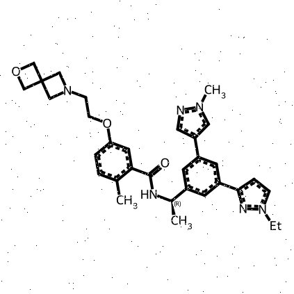 CCn1ccc(-c2cc(-c3cnn(C)c3)cc([C@@H](C)NC(=O)c3cc(OCCN4CC5(COC5)C4)ccc3C)c2)n1